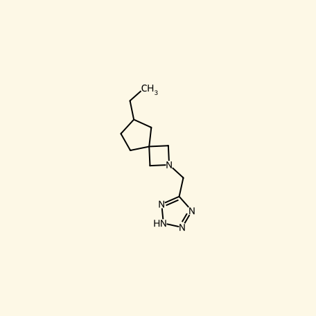 CCC1CCC2(C1)CN(Cc1nn[nH]n1)C2